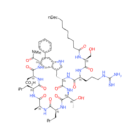 CCCCCCCCCCCCCCCCC(=O)N[C@@H](CO)C(=O)N[C@@H](CCCNC(=N)N)C(=O)N[C@@H](Cc1c[nH]c2ccccc12)C(=O)N[C@H](C(=O)N[C@@H](CC(C)C)C(=O)N[C@@H](C)C(=O)N[C@@H](CC(C)C)C(=O)N[C@@H](CC(=O)O)C(=O)N[C@@H](Cc1ccccc1)C(=O)NC)[C@@H](C)O